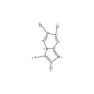 Clc1cc2nc(Cl)c(I)n2cc1Cl